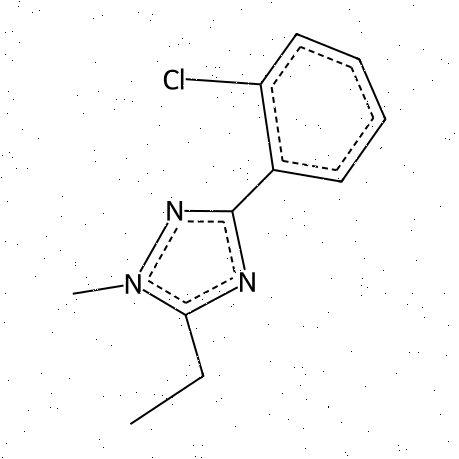 CCc1nc(-c2ccccc2Cl)nn1C